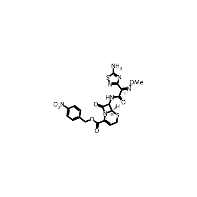 CO/N=C(/C(=O)NC1C(=O)N2C(C(=O)OCc3ccc([N+](=O)[O-])cc3)=CCS[C@H]12)c1nsc(N)n1